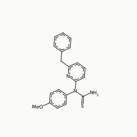 COc1ccc(N(C(N)=S)c2cccc(Cc3ccccc3)n2)cc1